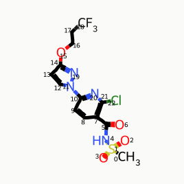 CS(=O)(=O)NC(=O)c1ccc(-n2ccc(OCCC(F)(F)F)n2)nc1Cl